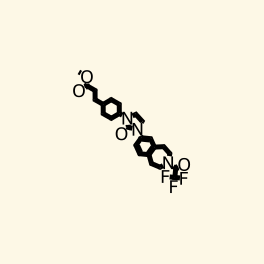 COC(=O)CCC1CCC(N2CCN(c3ccc4c(c3)CCN(C(=O)C(F)(F)F)CC4)C2=O)CC1